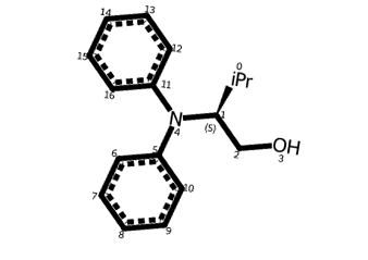 CC(C)[C@@H](CO)N(c1ccccc1)c1ccccc1